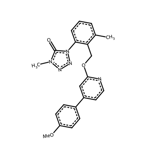 COc1ccc(-c2ccnc(OCc3c(C)cccc3-n3nnn(C)c3=O)c2)cc1